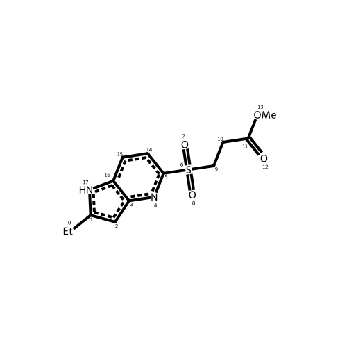 CCc1cc2nc(S(=O)(=O)CCC(=O)OC)ccc2[nH]1